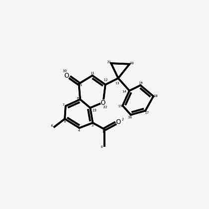 CC(=O)c1cc(C)cc2c(=O)cc(C3(c4ccccc4)CC3)oc12